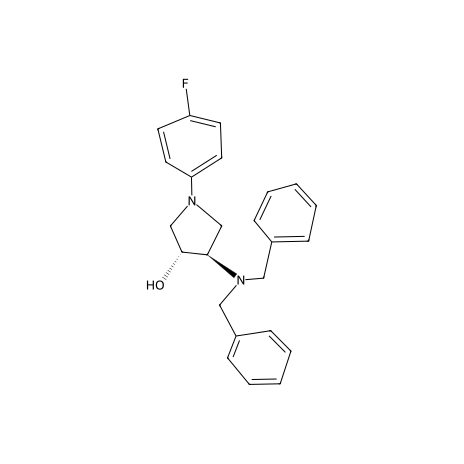 O[C@@H]1CN(c2ccc(F)cc2)C[C@H]1N(Cc1ccccc1)Cc1ccccc1